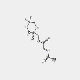 CC1(C)COP(=O)(COC(=O)/C=C/C(=O)O)OC1